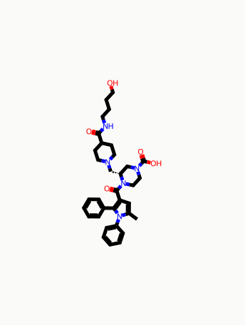 Cc1cc(C(=O)N2CCN(C(=O)O)C[C@H]2CN2CCC(C(=O)NCCCCO)CC2)c(-c2ccccc2)n1-c1ccccc1